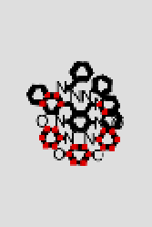 c1ccc(-c2cc(-c3c(-c4nc5ccccc5n4-c4ccccc4)c(N4c5ccccc5Oc5ccccc54)c(N4c5ccccc5Oc5ccccc54)c(N4c5ccccc5Oc5ccccc54)c3N3c4ccccc4Oc4ccccc43)nc(-c3ccccc3)n2)cc1